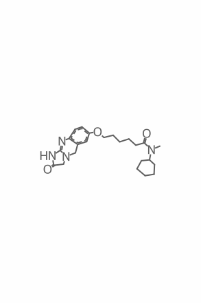 CN(C(=O)CCCCCOc1ccc2c(c1)CN1CC(=O)NC1=N2)C1CCCCC1